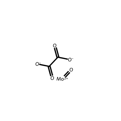 O=C([O-])C(=O)[O-].[O]=[Mo+2]